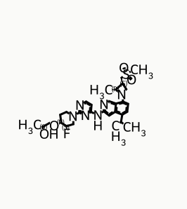 CC(C)c1ccc(N2C[C@H](CS(C)(=O)=O)[C@H]2C)c2cnc(Nc3ccnc(N4CC[C@@H](OC[C@H](C)O)[C@@H](F)C4)n3)cc12